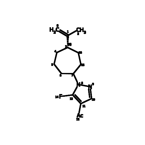 C=C(C)[C@H]1CCCC(n2ncc(C(C)=O)c2F)CC1